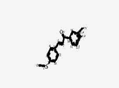 CSc1ccc(C=CC(=O)c2cccc(C)c2)cc1